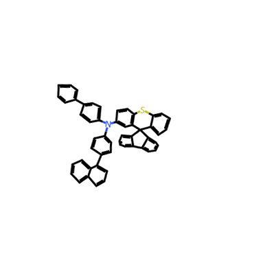 c1ccc(-c2ccc(N(c3ccc(-c4cccc5ccccc45)cc3)c3ccc4c(c3)C3(c5ccccc5S4)c4ccccc4-c4ccccc43)cc2)cc1